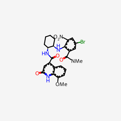 CNC(=O)c1cc(Br)cc([N+](=O)[O-])c1N[C@@H]1CCCC[C@@H]1NC(=O)c1cc(=O)[nH]c2c(OC)cccc12